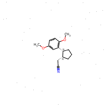 COc1ccc(OC)c([C@@H]2CCC[C@@H]2CC#N)c1